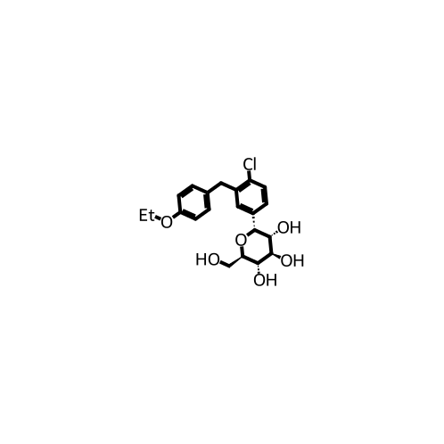 CCOc1ccc(Cc2cc([C@H]3O[C@H](CO)[C@@H](O)[C@H](O)[C@H]3O)ccc2Cl)cc1